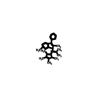 CC1=C(C)C(C)[C]([Zr]([CH]2C(C)=C(c3ccccc3)c3ccc(C)cc32)=[Si](C)C)=C1C